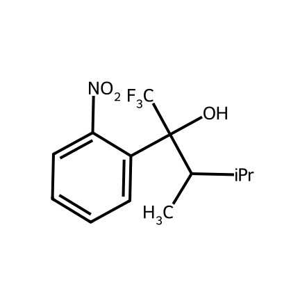 CC(C)C(C)C(O)(c1ccccc1[N+](=O)[O-])C(F)(F)F